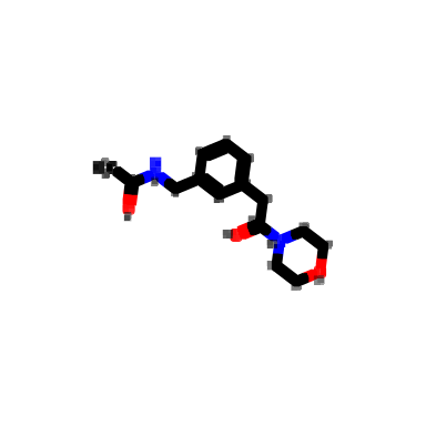 CC(=O)NCc1cccc(CC(=O)N2CCOCC2)c1